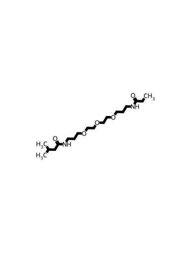 CCC(=O)NCCCOCCOCCOCCCNC(=O)CC(C)C